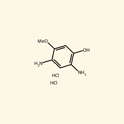 COc1cc(O)c(N)cc1N.Cl.Cl